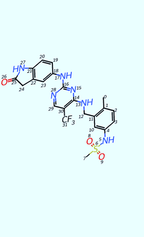 Cc1ccc(NS(C)(=O)=O)cc1CNc1nc(Nc2ccc3c(c2)CC(=O)N3)ncc1C(F)(F)F